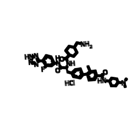 Cc1cc(C(=O)NC2CCC(N(C)C)CC2)ccc1-c1ccc(C[C@H](NC(=O)C2CCC(CN)CC2)C(=O)Nc2ccc(-c3nn[nH]n3)c(F)c2)cc1.Cl